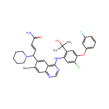 COc1cc2ncnc(Nc3cc(Cl)c(Oc4cccc(F)c4)cc3C(C)(C)O)c2cc1C(C=CC(N)=O)N1CCCCC1